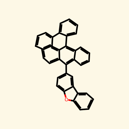 c1ccc(-c2ccccc2-c2c3ccccc3c(-c3ccc4oc5ccccc5c4c3)c3ccccc23)cc1